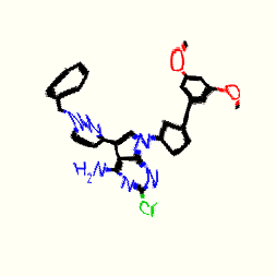 COc1cc(OC)cc(C2CCC(n3cc(-c4ccn(Cc5ccccc5)n4)c4c(N)nc(Cl)nc43)C2)c1